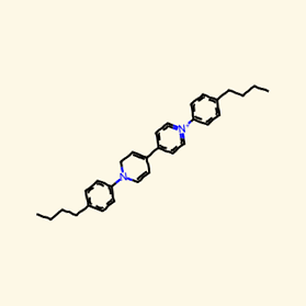 CCCCc1ccc(N2C=CC(c3cc[n+](-c4ccc(CCCC)cc4)cc3)=CC2)cc1